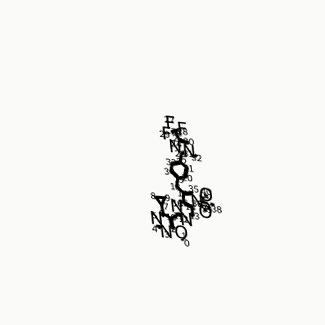 COc1ncnc(C2CC2)c1-c1ncc2c(n1)c(Cc1ccc(-c3nc(C(F)(F)F)cn3C)cc1)cn2S(C)(=O)=O